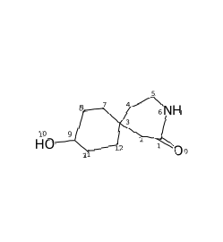 O=C1CC2(CCN1)CCC(O)CC2